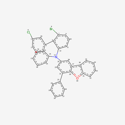 Clc1cccc(-c2c(Br)cccc2N(c2ccccc2)c2cc(-c3ccccc3)c3oc4ccccc4c3c2)c1